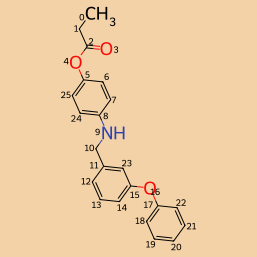 CCC(=O)Oc1ccc(NCc2cccc(Oc3ccccc3)c2)cc1